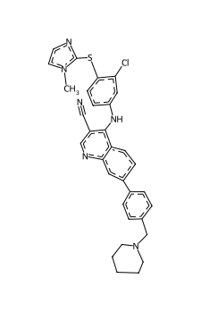 Cn1ccnc1Sc1ccc(Nc2c(C#N)cnc3cc(-c4ccc(CN5CCCCC5)cc4)ccc23)cc1Cl